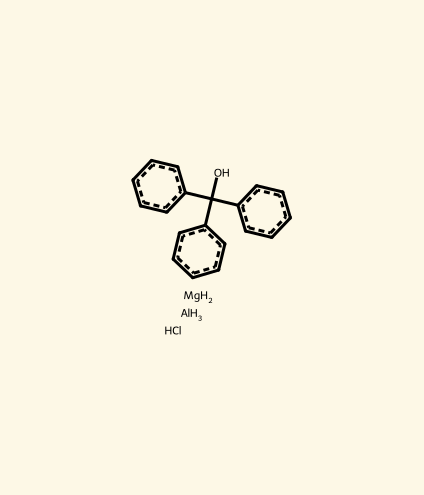 Cl.OC(c1ccccc1)(c1ccccc1)c1ccccc1.[AlH3].[MgH2]